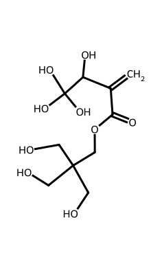 C=C(C(=O)OCC(CO)(CO)CO)C(O)C(O)(O)O